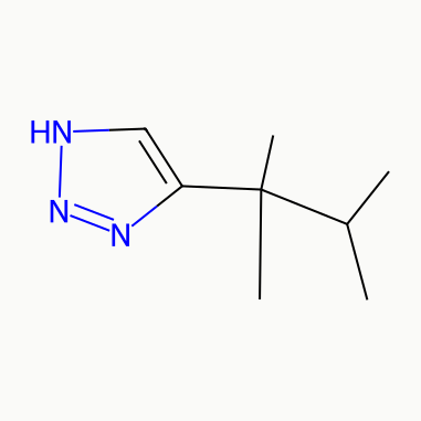 CC(C)C(C)(C)c1c[nH]nn1